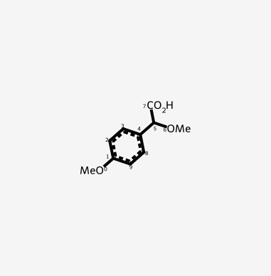 COc1ccc(C(OC)C(=O)O)cc1